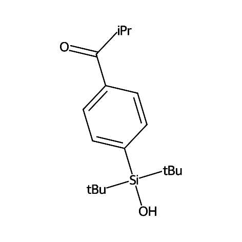 CC(C)C(=O)c1ccc([Si](O)(C(C)(C)C)C(C)(C)C)cc1